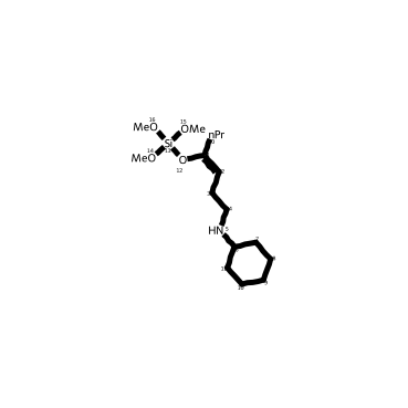 CCCC(=CCCNC1CCCCC1)O[Si](OC)(OC)OC